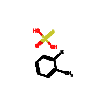 Cc1cccc[c]1[K].O=S(O)(O)=S